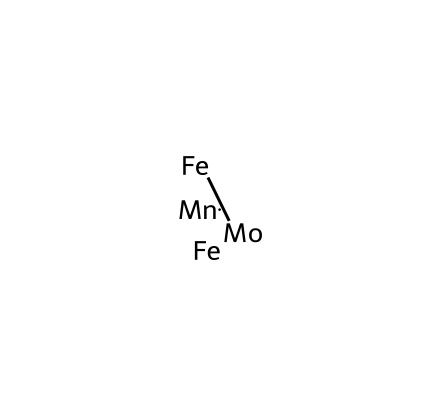 [Fe].[Fe][Mo].[Mn]